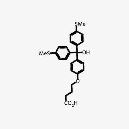 CSc1ccc(C(O)(c2ccc(OCCCC(=O)O)cc2)c2ccc(SC)cc2)cc1